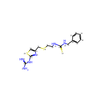 N=C(N)Nc1nc(CSCCNC(=S)NCc2ccccc2)cs1